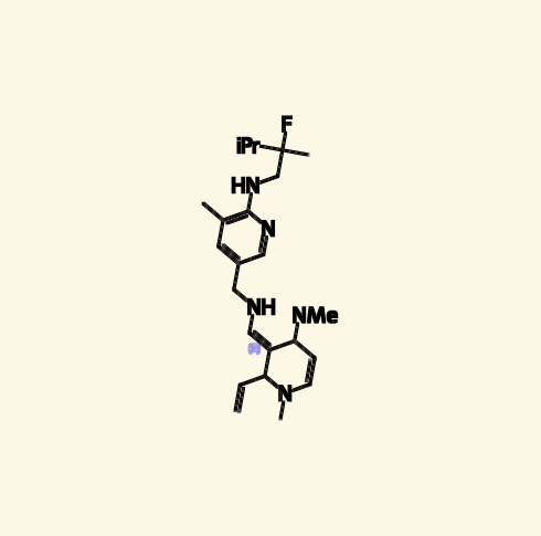 C=CC1/C(=C/NCc2cnc(NCC(C)(F)C(C)C)c(C)c2)C(NC)C=CN1C